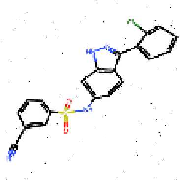 N#Cc1cccc(S(=O)(=O)Nc2ccc3c(-c4ccccc4Cl)n[nH]c3c2)c1